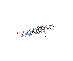 CC(C)C(C)(c1ccc(OCc2ccccn2)cc1)c1ccc(-c2ccc(N3CC[C@@H](O)C3)nc2)cc1